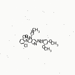 COC1=CC(OC)C(CNc2cc3c(cn2)CN(c2c(C)cccc2Cl)C(=O)N3C2CN(C)C2)C=C1